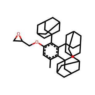 Cc1cc(OCC2CO2)c(C23CC4CC(CC(C4)C2)C3)c(C23CC4CC(CC(C4)C2)C3)c1C12CC3CC(CC(C3)C1)C2